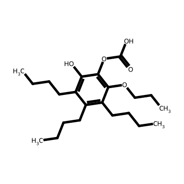 CCCCc1c(O)c(OC(=O)O)c(OCCC)c(CCCC)c1CCCC